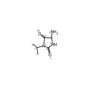 CC(C)N1C(=O)NC(N)C1=O